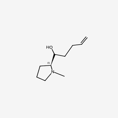 C=CCCC(O)[C@@H]1CCCN1C